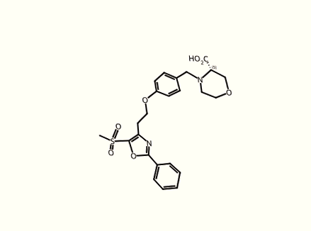 CS(=O)(=O)c1oc(-c2ccccc2)nc1CCOc1ccc(CN2CCOC[C@H]2C(=O)O)cc1